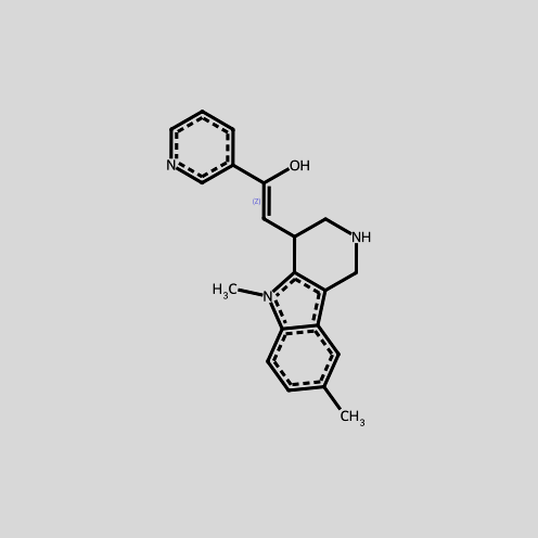 Cc1ccc2c(c1)c1c(n2C)C(/C=C(\O)c2cccnc2)CNC1